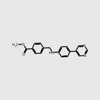 COC(=O)c1ccc(CNc2ccc(-c3cncnc3)cc2)cc1